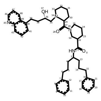 O=C(NC(CCCc1ccccc1)CCCc1ccccc1)C1CCCN(C(=O)C2CCCCN2C[C@@H](O)CCc2cccc3ncccc23)C1